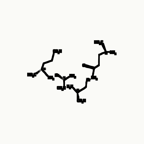 CC(C)C[C@H](N)C(=O)O.CC(C)[C@H](N)C(=O)O.NC(=O)CC[C@H](N)C(=O)O.N[C@@H](CCC(=O)O)C(=O)O